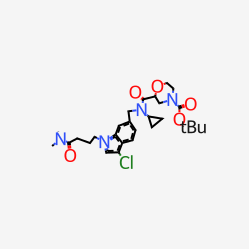 CN(C)C(=O)CCCn1cc(Cl)c2ccc(CN(C(=O)C3CN(C(=O)OC(C)(C)C)CCO3)C3CC3)cc21